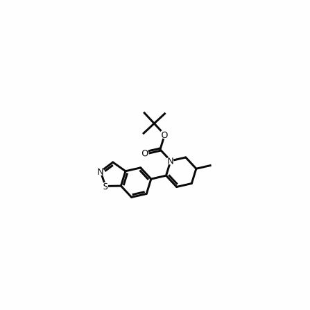 CC1CC=C(c2ccc3sncc3c2)N(C(=O)OC(C)(C)C)C1